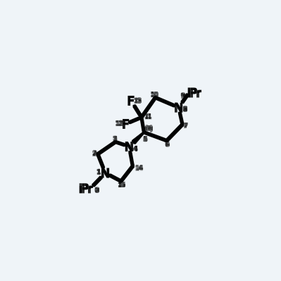 CC(C)N1CCN([C@@H]2CCN(C(C)C)CC2(F)F)CC1